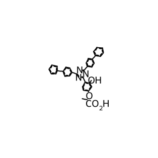 CC(Oc1ccc(-c2nc(-c3ccc(-c4ccccc4)cc3)nc(-c3ccc(-c4ccccc4)cc3)n2)c(O)c1)C(=O)O